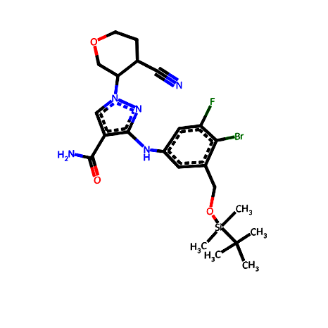 CC(C)(C)[Si](C)(C)OCc1cc(Nc2nn(C3COCCC3C#N)cc2C(N)=O)cc(F)c1Br